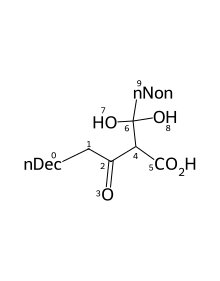 CCCCCCCCCCCC(=O)C(C(=O)O)C(O)(O)CCCCCCCCC